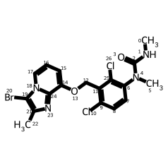 CNC(=O)N(C)c1ccc(Cl)c(COc2cccn3c(Br)c(C)nc23)c1Cl